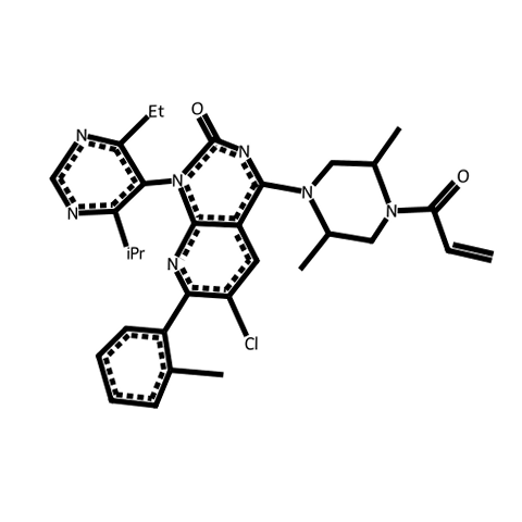 C=CC(=O)N1CC(C)N(c2nc(=O)n(-c3c(CC)ncnc3C(C)C)c3nc(-c4ccccc4C)c(Cl)cc23)CC1C